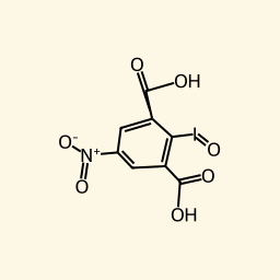 O=Ic1c(C(=O)O)cc([N+](=O)[O-])cc1C(=O)O